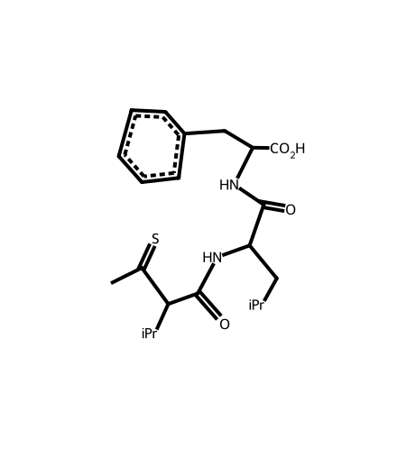 CC(=S)C(C(=O)NC(CC(C)C)C(=O)NC(Cc1ccccc1)C(=O)O)C(C)C